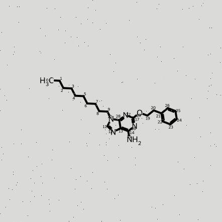 CCCCCCCCCCn1cnc2c(N)nc(OCCc3ccccc3)nc21